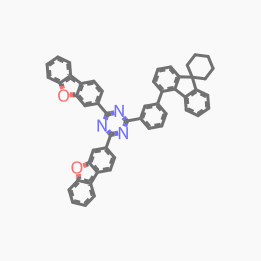 c1cc(-c2nc(-c3ccc4c(c3)oc3ccccc34)nc(-c3ccc4c(c3)oc3ccccc34)n2)cc(-c2cccc3c2-c2ccccc2C32CCCCC2)c1